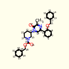 Cc1nc(-c2ccccc2OCc2ccccc2)cn(C2CCCN(C(=O)OCc3ccccc3)C2)c1=O